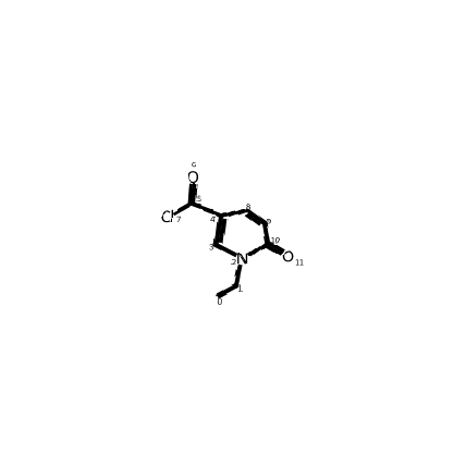 CCn1cc(C(=O)Cl)ccc1=O